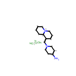 Cl.Cl.Cl.NC1CCN(CC2CCCN3CCCCC23)CC1